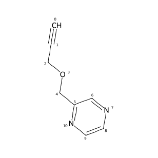 C#CCOCc1cnccn1